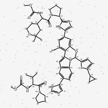 COC(=O)NC(C(=O)N1CCC[C@H]1c1ncc(-c2cc(F)c3c(c2)OC(c2ccc(C4CC4)s2)n2c-3cc3cc(-c4cnc([C@@H]5CCCN5C(=O)[C@@H](NC(=O)OC)C(C)C)[nH]4)ccc32)[nH]1)C1CCOC(C)(C)C1